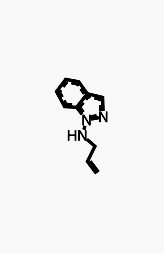 C=CCNn1ncc2ccccc21